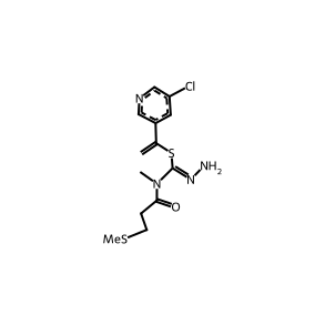 C=C(S/C(=N\N)N(C)C(=O)CCSC)c1cncc(Cl)c1